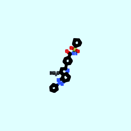 O=C(NS(=O)(=O)c1ccccc1)c1ccc(-c2cc(C(=O)O)c3c(ccc4nn(-c5ccccc5)nc43)n2)cc1